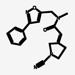 CN(Cc1cc(-c2ccccc2)no1)C(=O)C=C1CCN(C#N)C1